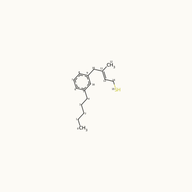 CCCCCc1cccc(CC(C)=CCS)c1